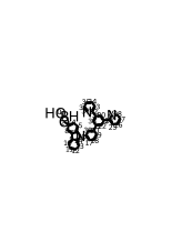 OBOc1ccc2c(c1)c1ccccc1n2-c1cccc(-c2cc(-c3ccccn3)cc(-c3ccccn3)c2)c1